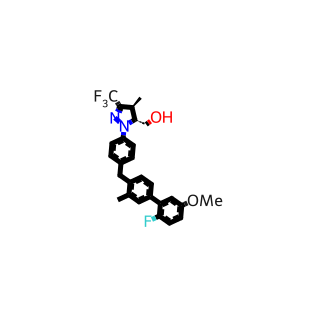 COc1ccc(F)c(-c2ccc(Cc3ccc(N4N=C(C(F)(F)F)[C@@H](C)[C@@H]4CO)cc3)c(C)c2)c1